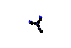 c1ccc2c(c1)sc1nc(-c3ccc(N(c4ccc(-c5ccc6cnncc6c5)cc4)c4ccc(-c5ccc6cnncc6c5)cc4)cc3)ccc12